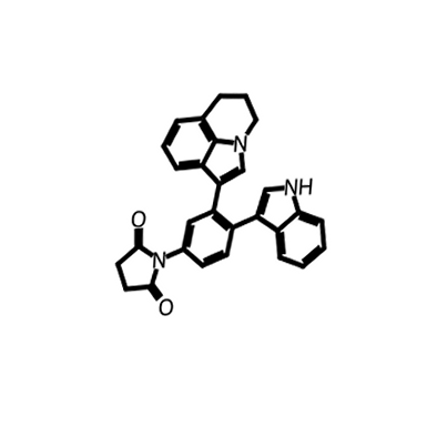 O=C1CCC(=O)N1c1ccc(-c2c[nH]c3ccccc23)c(-c2cn3c4c(cccc24)CCC3)c1